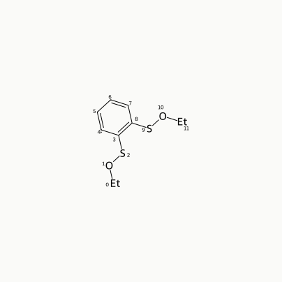 CCOSc1[c]cccc1SOCC